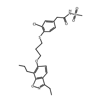 CCCc1c(OCCCSc2ccc(CC(=O)NS(C)(=O)=O)cc2Cl)ccc2c(CC)noc12